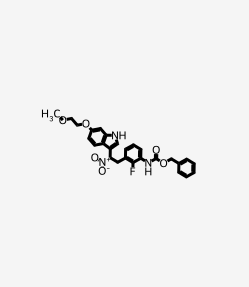 COCCOc1ccc2c(C(Cc3cccc(NC(=O)OCc4ccccc4)c3F)[N+](=O)[O-])c[nH]c2c1